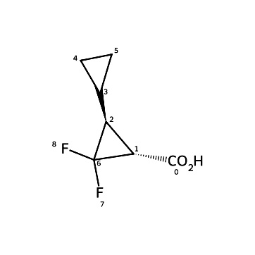 O=C(O)[C@H]1[C@H](C2CC2)C1(F)F